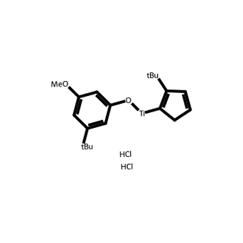 COc1cc([O][Ti][C]2=C(C(C)(C)C)C=CC2)cc(C(C)(C)C)c1.Cl.Cl